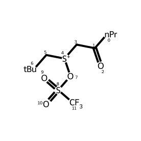 CCCC(=O)C[S+](CC(C)(C)C)OS(=O)(=O)C(F)(F)F